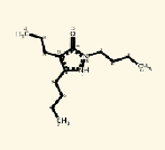 CCCCc1[nH]n(CCCC)c(=O)c1CCC